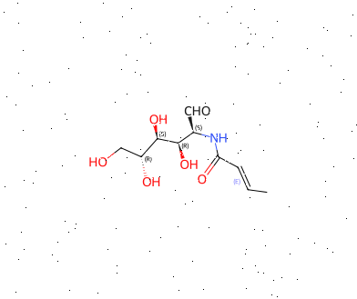 C/C=C/C(=O)N[C@H](C=O)[C@@H](O)[C@H](O)[C@H](O)CO